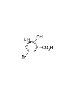 O=C(O)c1cc(Br)ccc1O.[LiH]